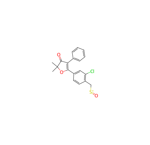 CC1(C)OC(c2ccc(C[S+]=O)c(Cl)c2)=C(c2ccccc2)C1=O